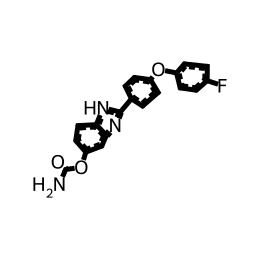 NC(=O)Oc1ccc2[nH]c(-c3ccc(Oc4ccc(F)cc4)cc3)nc2c1